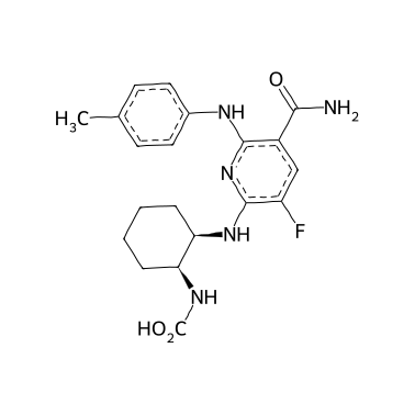 Cc1ccc(Nc2nc(N[C@@H]3CCCC[C@@H]3NC(=O)O)c(F)cc2C(N)=O)cc1